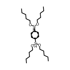 CCCCCO[SiH](OCCCCC)c1ccc([SiH](OCCCCC)OCCCCC)cc1